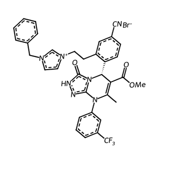 COC(=O)C1=C(C)N(c2cccc(C(F)(F)F)c2)c2n[nH]c(=O)n2[C@@H]1c1ccc(C#N)cc1CC[n+]1ccn(Cc2ccccc2)c1.[Br-]